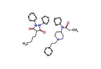 CCC(=O)N(c1ccccc1)C1CCN(CCc2ccccc2)CC1.CCCCC1C(=O)N(c2ccccc2)N(c2ccccc2)C1=O